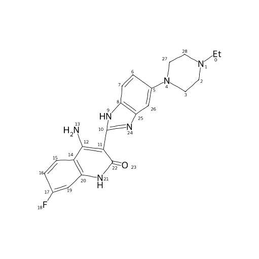 CCN1CCN(c2ccc3[nH]c(-c4c(N)c5ccc(F)cc5[nH]c4=O)nc3c2)CC1